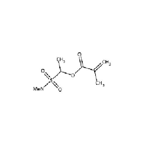 C=C(C)C(=O)OC(C)S(=O)(=O)NC